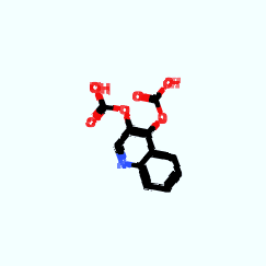 O=C(O)Oc1cnc2ccccc2c1OC(=O)O